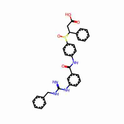 N=C(NCc1ccccc1)Nc1cccc(C(=O)Nc2ccc([S+]([O-])C(CC(=O)O)c3ccccc3)cc2)c1